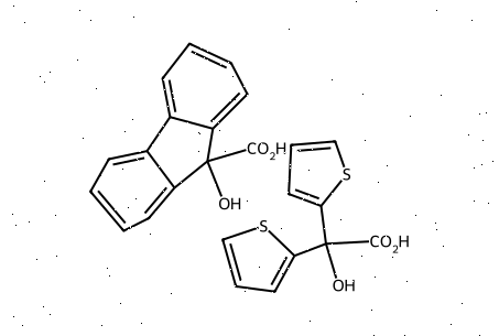 O=C(O)C(O)(c1cccs1)c1cccs1.O=C(O)C1(O)c2ccccc2-c2ccccc21